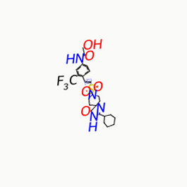 O=C(CO)Nc1ccc(/C=C/S(=O)(=O)N2CCC3(CC2)N=C(C2CCCCC2)NC3=O)c(C(F)(F)F)c1